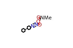 CNC(=O)COC(=O)N1CCN(c2ccc(-c3ccccc3)cc2)CC1